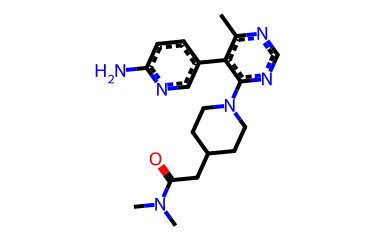 Cc1ncnc(N2CCC(CC(=O)N(C)C)CC2)c1-c1ccc(N)nc1